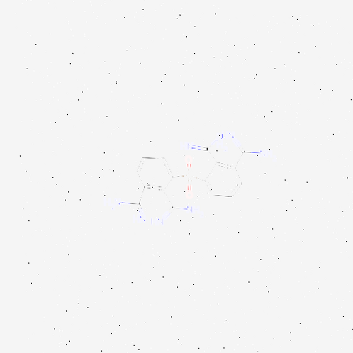 N=C(N)c1cccc(S(=O)(=O)c2cccc(C(=N)N)c2C(=N)N)c1C(=N)N